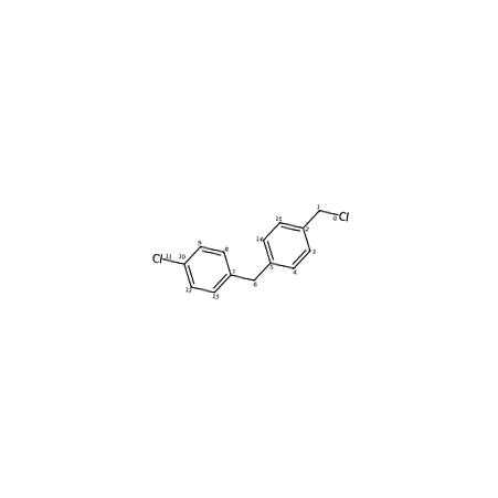 ClCc1ccc(Cc2ccc(Cl)cc2)cc1